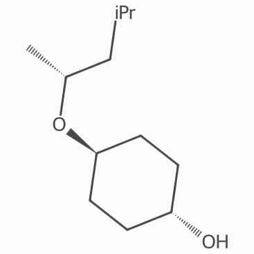 CC(C)C[C@@H](C)O[C@H]1CC[C@H](O)CC1